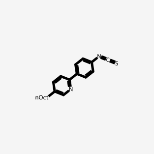 CCCCCCCCc1ccc(-c2ccc(N=C=S)cc2)nc1